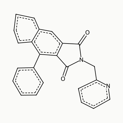 O=C1c2cc3ccccc3c(-c3ccccc3)c2C(=O)N1Cc1ccccn1